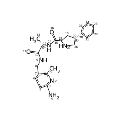 Cc1nc(N)ccc1CNC(=O)[C@H](C)NC(=O)[C@H]1C[C@H](c2ccccc2)CN1